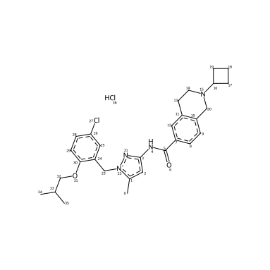 Cc1cc(NC(=O)c2ccc3c(c2)CCN(C2CCC2)C3)nn1Cc1cc(Cl)ccc1OCC(C)C.Cl